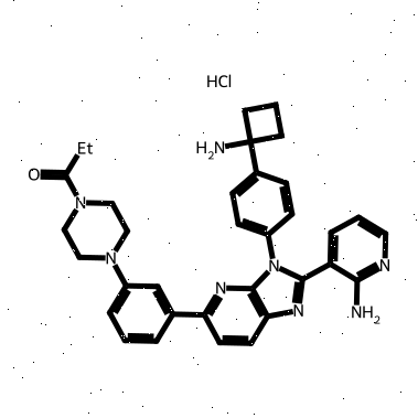 CCC(=O)N1CCN(c2cccc(-c3ccc4nc(-c5cccnc5N)n(-c5ccc(C6(N)CCC6)cc5)c4n3)c2)CC1.Cl